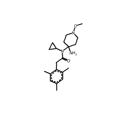 CON1CCC(N)(N(C(=O)Cc2c(C)cc(C)cc2C)C2CC2)CC1